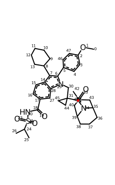 COc1ccc(-c2c(C3CCCCC3)c3ccc(C(=O)NS(=O)(=O)C(C)C)cc3n2CC2(C(=O)N3C4CCCC3CN(C)C4)CC2)cc1